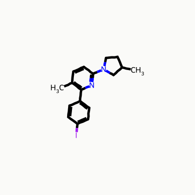 Cc1ccc(N2CCC(C)C2)nc1-c1ccc(I)cc1